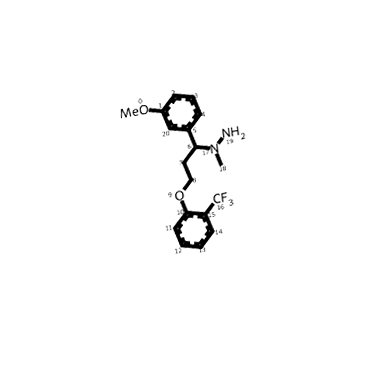 COc1cccc(C(CCOc2ccccc2C(F)(F)F)N(C)N)c1